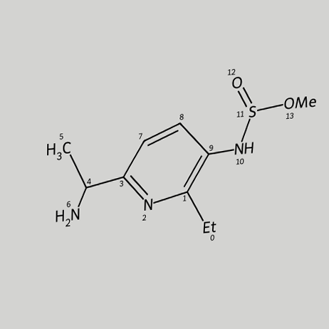 CCc1nc(C(C)N)ccc1NS(=O)OC